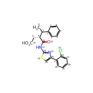 CC(c1ccccc1)[C@@H](CC(=O)O)C(=O)Nc1nc(-c2ccccc2Cl)cs1